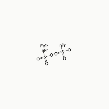 CCCS(=O)(=O)[O-].CCCS(=O)(=O)[O-].[Fe+2]